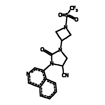 N#CC1CN(C2CN(S(=O)(=O)C(F)(F)F)C2)C(=O)N1c1cncc2ccccc12